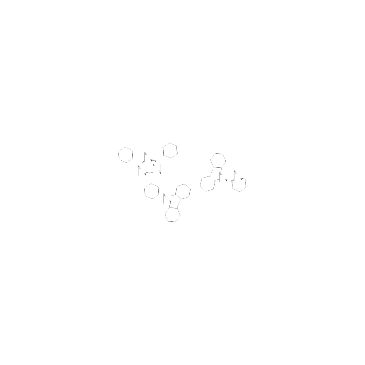 c1ccc(-c2nc(-c3ccccc3)nc(-c3cccc(-n4c5ccccc5c5cc(-c6ccc7c(c6)c6ccccc6n7-c6ccccn6)ccc54)c3)n2)cc1